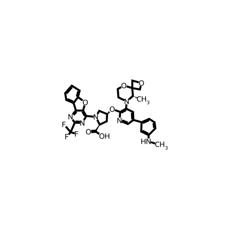 CNc1cccc(-c2cnc(O[C@H]3C[C@@H](C(=O)O)N(c4nc(C(F)(F)F)nc5c4oc4ccccc45)C3)c(N3CCOC4(COC4)[C@@H]3C)c2)c1